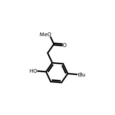 COC(=O)Cc1cc(C(C)(C)C)ccc1O